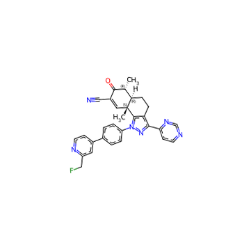 C[C@H]1C(=O)C(C#N)=C[C@@]2(C)c3c(c(-c4ccncn4)nn3-c3ccc(-c4ccnc(CF)c4)cc3)CC[C@H]12